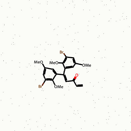 C=CC(=O)C=C(c1cc(OC)cc(Br)c1OC)c1cc(OC)cc(Br)c1OC